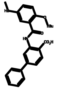 CBc1ccc(OCCCC)c(C(=O)Nc2cc(-c3ccccc3)ccc2C(=O)O)c1